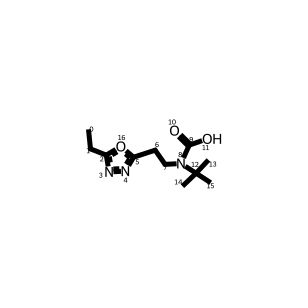 CCc1nnc(CCN(C(=O)O)C(C)(C)C)o1